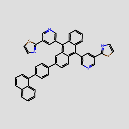 c1ccc2c(-c3ccc(-c4ccc5c(-c6cncc(-c7nccs7)c6)c6ccccc6c(-c6cncc(-c7nccs7)c6)c5c4)cc3)cccc2c1